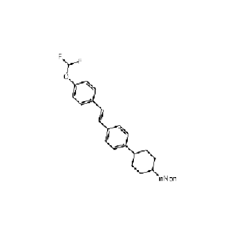 CCCCCCCCCC1CCC(c2ccc(C=Cc3ccc(OC(F)F)cc3)cc2)CC1